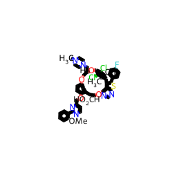 COc1ccccc1-c1nccc(COc2ccc3cc2C[C@H](C(=O)O)Oc2ncnc4sc(-c5ccc(F)cc5)c(c24)-c2c(C)c(Cl)c(c(Cl)c2C)O[C@H](CN2CCN(C)CC2)CO3)n1